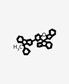 CC1(c2ccccc2)c2ccccc2-c2cc(-c3ccc4c(c3)C3(c5ccccc5-c5ccccc53)c3ccc5ccccc5c3O4)ccc21